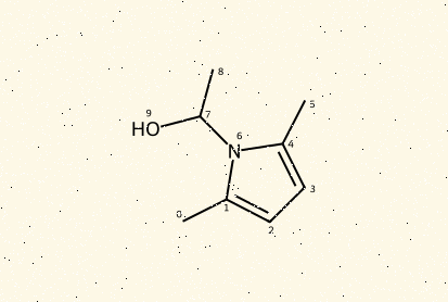 Cc1ccc(C)n1C(C)O